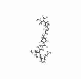 COCOc1ccccc1-c1cc(-c2cnn(C(C)c3ccc(OCCOc4cc(C(C(=O)OC)C(C)C)on4)nc3)c2)c(N)nn1